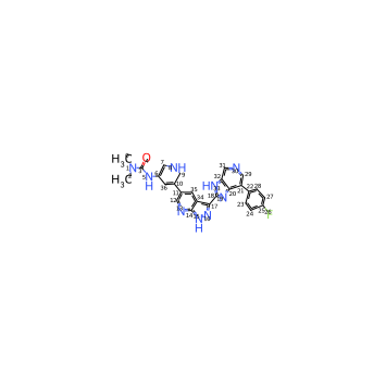 CN(C)C(=O)NC1=CNCC(c2cnc3[nH]nc(-c4nc5c(-c6ccc(F)cc6)cncc5[nH]4)c3c2)=C1